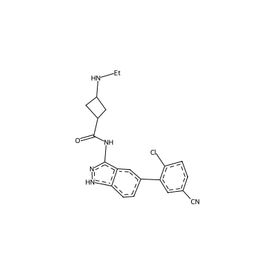 CCNC1CC(C(=O)Nc2n[nH]c3ccc(-c4cc(C#N)ccc4Cl)cc23)C1